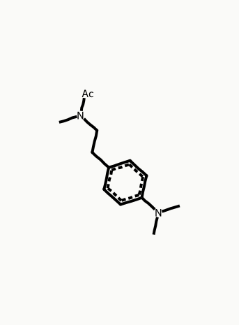 CC(=O)N(C)CCc1ccc(N(C)C)cc1